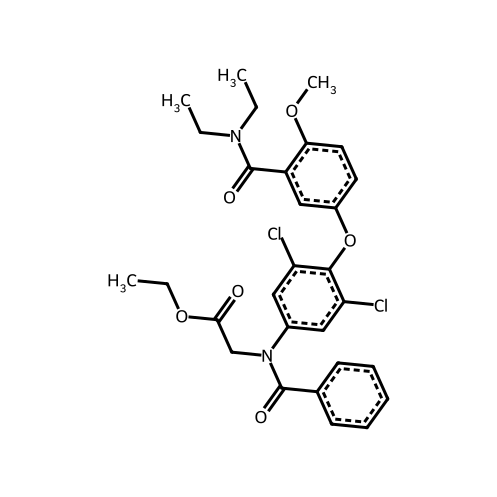 CCOC(=O)CN(C(=O)c1ccccc1)c1cc(Cl)c(Oc2ccc(OC)c(C(=O)N(CC)CC)c2)c(Cl)c1